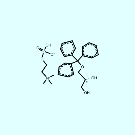 C[N+](C)(C)CCOP(=O)([O-])O.OC[C@@H](O)COC(c1ccccc1)(c1ccccc1)c1ccccc1